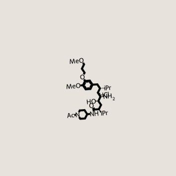 COCCCOc1cc(C[C@@H](C[C@H](N)[C@@H](O)C[C@H](C(=O)NC2CCN(C(C)=O)CC2)C(C)C)C(C)C)ccc1OC.Cl